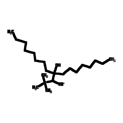 CCCCCCCCC(O)(CCCCCCCC)C([PH-])[N+](C)(C)C